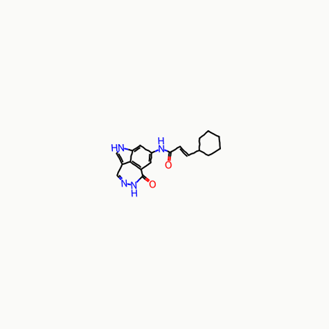 O=C(/C=C/C1CCCCC1)Nc1cc2c3c(c[nH]c3c1)C=NNC2=O